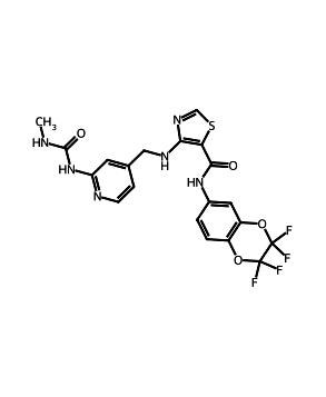 CNC(=O)Nc1cc(CNc2ncsc2C(=O)Nc2ccc3c(c2)OC(F)(F)C(F)(F)O3)ccn1